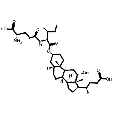 CC[C@H](C)[C@H](NC(=O)CC[C@H](N)C(=O)O)C(=O)O[C@@H]1CC[C@@]2(C)[C@H](CC[C@@H]3[C@@H]2C[C@H](O)[C@]2(C)[C@@H]([C@H](C)CCC(=O)O)CC[C@@H]32)C1